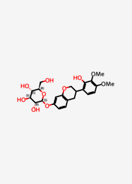 COc1ccc(C2COc3cc(O[C@@H]4O[C@H](CO)[C@@H](O)[C@H](O)[C@H]4O)ccc3C2)c(O)c1OC